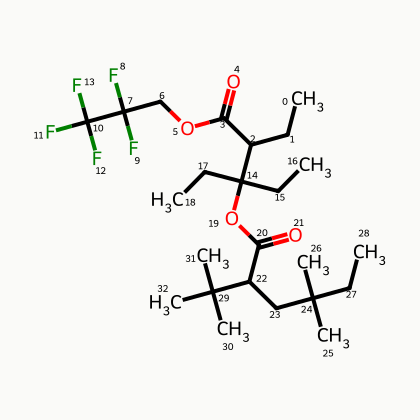 CCC(C(=O)OCC(F)(F)C(F)(F)F)C(CC)(CC)OC(=O)C(CC(C)(C)CC)C(C)(C)C